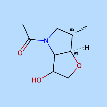 CC(=O)N1C[C@H](C)[C@H]2OCC(O)C21